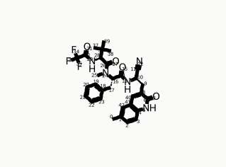 Cc1ccc2[nH]c(=O)c(C[C@H](C#N)NC(=O)[C@H](Cc3ccccc3)N(C)C(=O)[C@@H](NC(=O)C(F)(F)F)C(C)(C)C)cc2c1